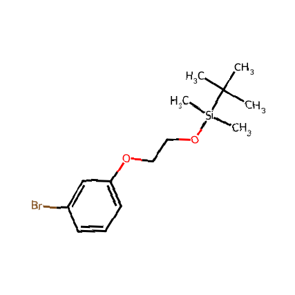 CC(C)(C)[Si](C)(C)OCCOc1cccc(Br)c1